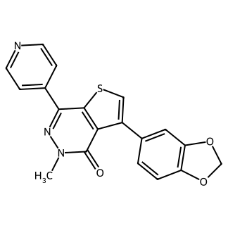 Cn1nc(-c2ccncc2)c2scc(-c3ccc4c(c3)OCO4)c2c1=O